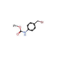 CC(C)OC(=O)Nc1ccc(CBr)cc1